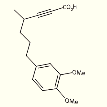 COc1ccc(CCCC(C)C#CC(=O)O)cc1OC